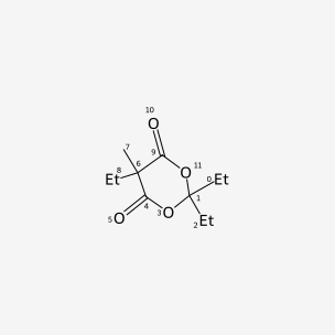 CCC1(CC)OC(=O)C(C)(CC)C(=O)O1